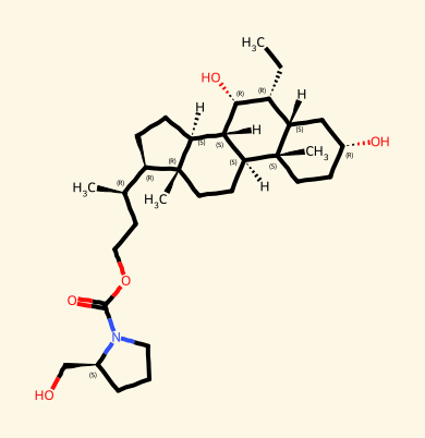 CC[C@H]1[C@@H](O)[C@@H]2[C@H](CC[C@]3(C)[C@@H]([C@H](C)CCOC(=O)N4CCC[C@H]4CO)CC[C@@H]23)[C@@]2(C)CC[C@@H](O)C[C@@H]12